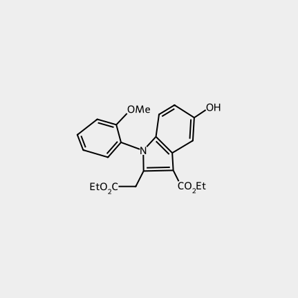 CCOC(=O)Cc1c(C(=O)OCC)c2cc(O)ccc2n1-c1ccccc1OC